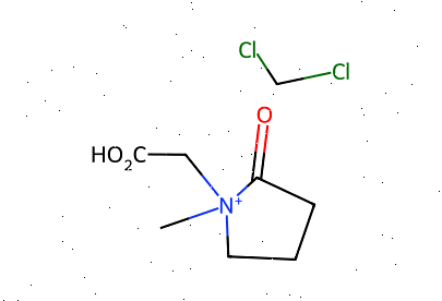 C[N+]1(CC(=O)O)CCCC1=O.ClCCl